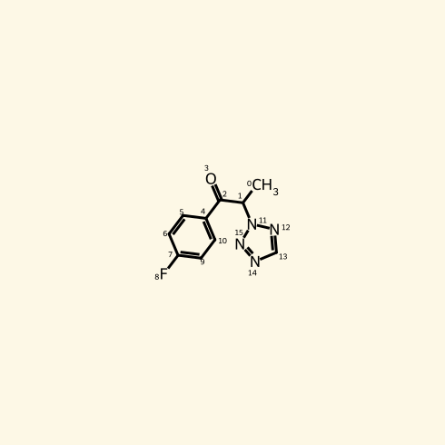 CC(C(=O)c1ccc(F)cc1)n1ncnn1